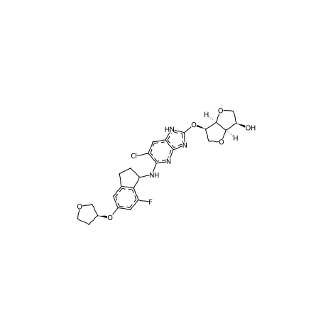 O[C@@H]1CO[C@H]2[C@@H]1OC[C@H]2Oc1nc2nc(NC3CCc4cc(O[C@H]5CCOC5)cc(F)c43)c(Cl)cc2[nH]1